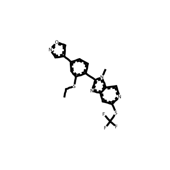 CCSc1cc(-c2cnoc2)ccc1-c1nc2cc(SC(F)(F)F)ncc2n1C